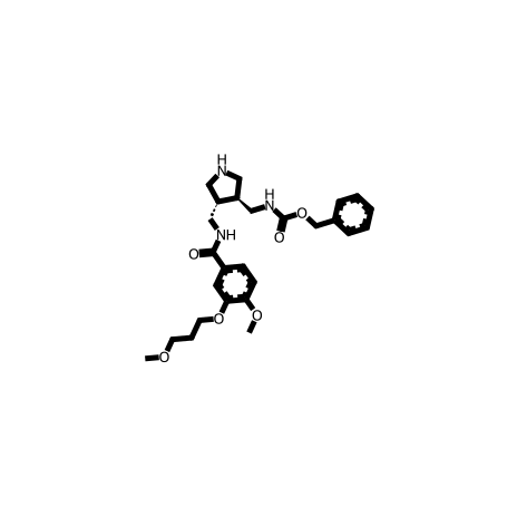 COCCCOc1cc(C(=O)NC[C@@H]2CNC[C@H]2CNC(=O)OCc2ccccc2)ccc1OC